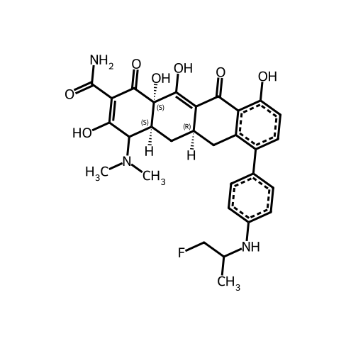 CC(CF)Nc1ccc(-c2ccc(O)c3c2C[C@H]2C[C@H]4C(N(C)C)C(O)=C(C(N)=O)C(=O)[C@@]4(O)C(O)=C2C3=O)cc1